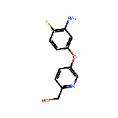 Nc1cc(Oc2ccc(CO)nc2)ccc1F